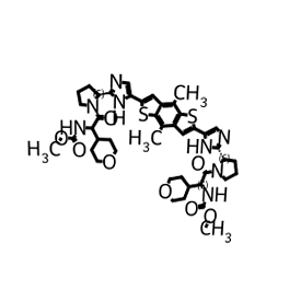 COC(=O)NC(C(=O)N1CCC[C@H]1c1ncc(-c2cc3c(C)c4sc(-c5cnc([C@@H]6CCCN6C(=O)[C@@H](NC(=O)OC)C6CCOCC6)[nH]5)cc4c(C)c3s2)[nH]1)C1CCOCC1